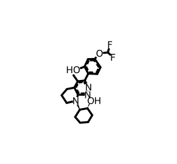 Cc1c(-c2ccc(OC(F)F)cc2O)nnc2c1CCCN2[C@@H]1CCCC[C@H]1O